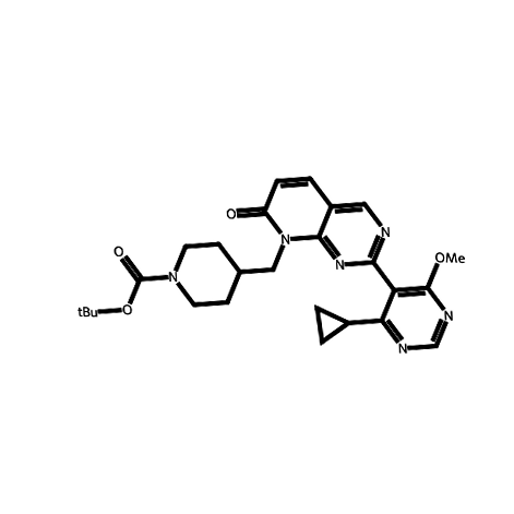 COc1ncnc(C2CC2)c1-c1ncc2ccc(=O)n(CC3CCN(C(=O)OC(C)(C)C)CC3)c2n1